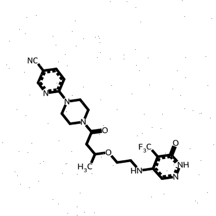 CC(CC(=O)N1CCN(c2ccc(C#N)cn2)CC1)OCCNc1cn[nH]c(=O)c1C(F)(F)F